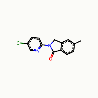 Cc1ccc2c(c1)CN(c1ccc(Cl)cn1)C2=O